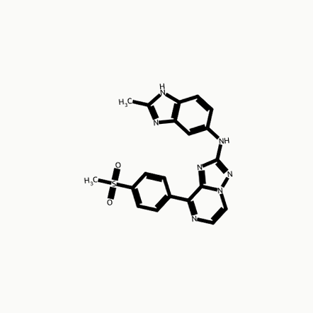 Cc1nc2cc(Nc3nc4c(-c5ccc(S(C)(=O)=O)cc5)nccn4n3)ccc2[nH]1